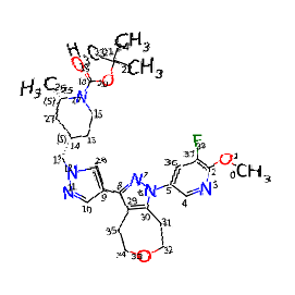 COc1ncc(-n2nc(-c3cnn(C[C@H]4CCN(C(=O)OC(C)(C)C)[C@@H](C)C4)c3)c3c2CCOCC3)cc1F